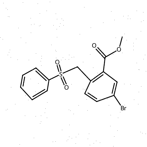 COC(=O)c1cc(Br)ccc1CS(=O)(=O)c1ccccc1